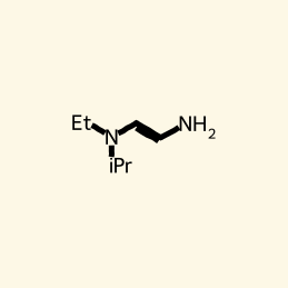 CCN(/C=C/N)C(C)C